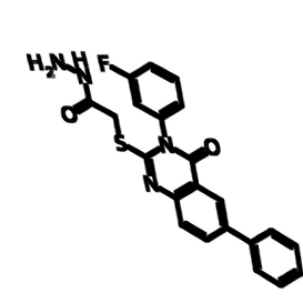 NNC(=O)CSc1nc2ccc(-c3ccccc3)cc2c(=O)n1-c1cccc(F)c1